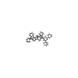 c1ccc(-c2cc(-c3ccccc3)cc(-n3c4ccccc4c4c5oc6c(ccc7c6c6ccccc6n7-c6ccccc6)c5ccc43)c2)cc1